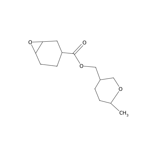 CC1CCC(COC(=O)C2CCC3OC3C2)CO1